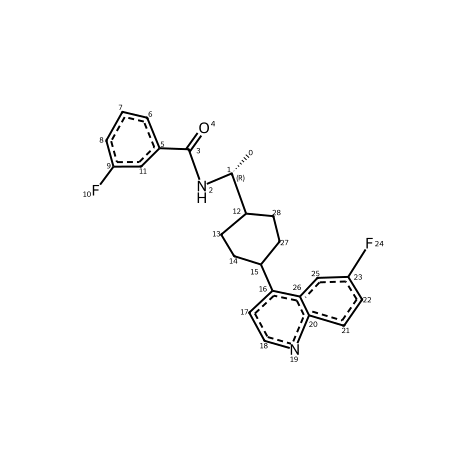 C[C@@H](NC(=O)c1cccc(F)c1)C1CCC(c2ccnc3ccc(F)cc23)CC1